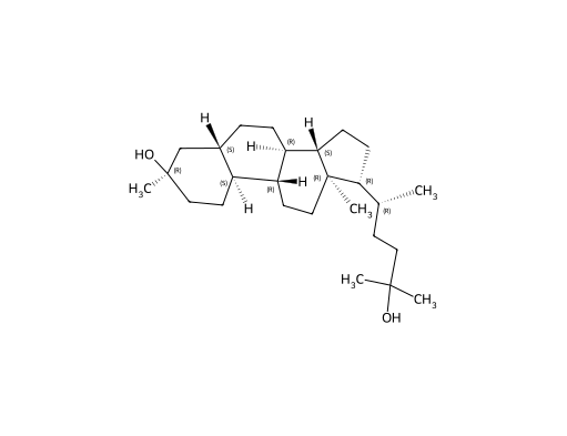 C[C@H](CCC(C)(C)O)[C@H]1CC[C@H]2[C@@H]3CC[C@H]4C[C@](C)(O)CC[C@@H]4[C@H]3CC[C@]12C